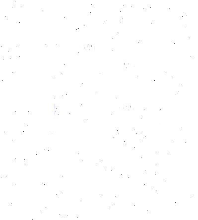 COc1cc2[nH]c(=O)cc(-c3cc(Br)ccc3F)c2c(OC)c1OC